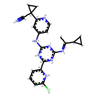 C/C(=N\c1nc(Nc2ccnc(C3(C#N)CC3)c2)nc(-c2cccc(Cl)n2)n1)C1CC1